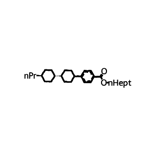 CCCCCCCOC(=O)c1ccc(C2CCC([C@H]3CC[C@H](CCC)CC3)CC2)cc1